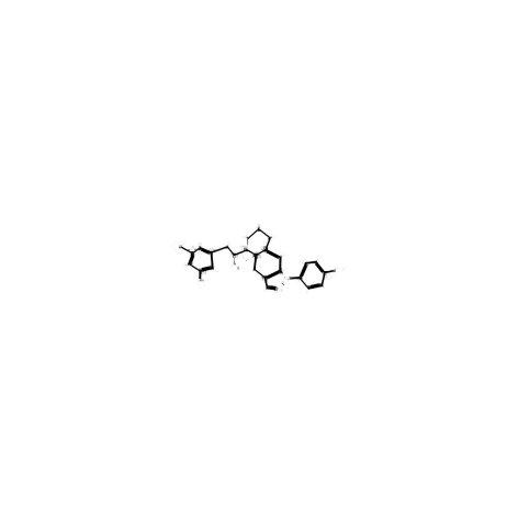 C[C@]12Cc3cnn(-c4ccc(F)cc4)c3C=C1CCC[C@@H]2[C@@H](O)Cc1cc(Cl)cc(Cl)c1